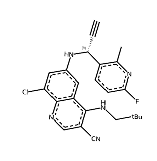 C#C[C@@H](Nc1cc(Cl)c2ncc(C#N)c(NCC(C)(C)C)c2c1)c1ccc(F)nc1C